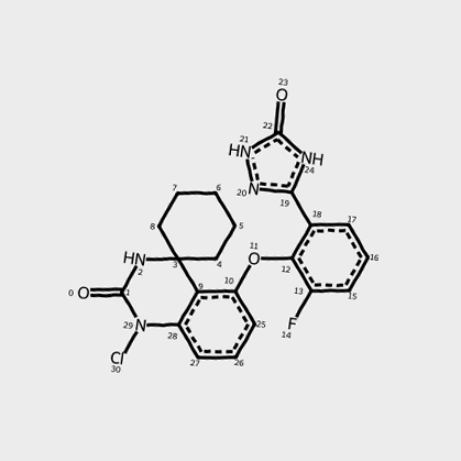 O=C1NC2(CCCCC2)c2c(Oc3c(F)cccc3-c3n[nH]c(=O)[nH]3)cccc2N1Cl